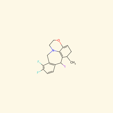 CC1CC=C2OCCN3Cc4c(ccc(F)c4F)C(I)C1=C23